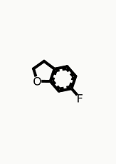 Fc1ccc2c(c1)OCC2